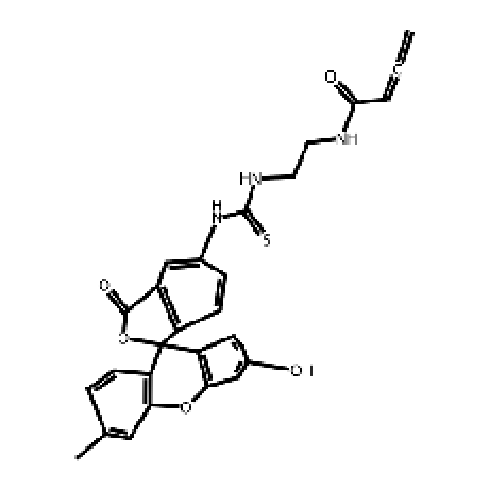 C=C=CC(=O)NCCNC(=S)Nc1ccc2c(c1)C(=O)OC21c2ccc(C)cc2Oc2cc(O)ccc21